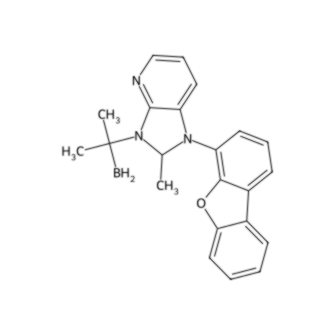 BC(C)(C)N1c2ncccc2N(c2cccc3c2oc2ccccc23)C1C